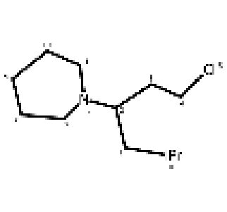 CC(C)CC(CCCl)N1CCCCC1